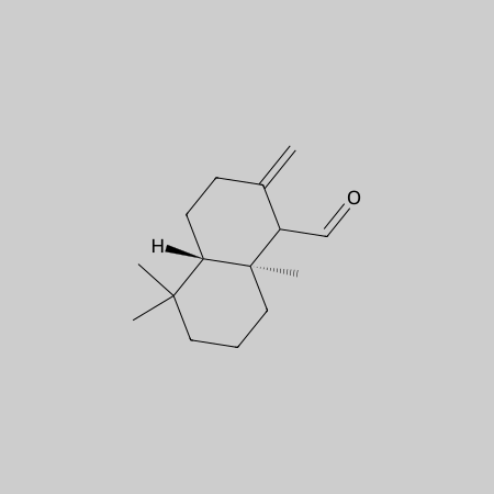 C=C1CC[C@H]2C(C)(C)CCC[C@]2(C)C1C=O